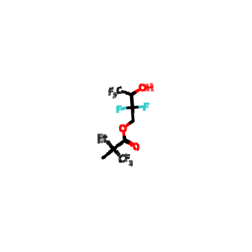 CCC(C)(C(=O)OCC(F)(F)C(O)C(F)(F)F)C(F)(F)F